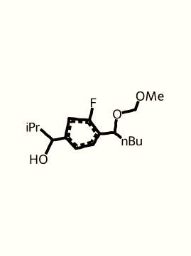 CCCCC(OCOC)c1ccc(C(O)C(C)C)cc1F